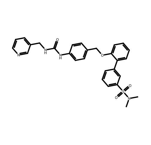 CN(C)S(=O)(=O)c1cccc(-c2ccccc2OCc2ccc(NC(=O)NCc3cccnc3)cc2)c1